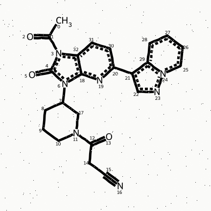 CC(=O)n1c(=O)n(C2CCCN(C(=O)CC#N)C2)c2nc(-c3cnn4ccccc34)ccc21